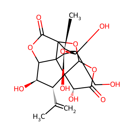 C=C(C)[C@@H]1[C@@H](O)C2OC(=O)C34OC5OC(=O)[C@H](O)C51C23[C@@H](O)C(CO)OC(O)[C@H]4C